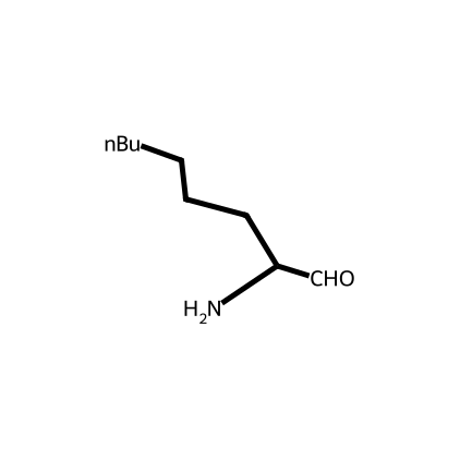 CCCCCCCC(N)C=O